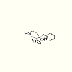 OC1CNCC[C@@]1(O)Cc1ccccc1